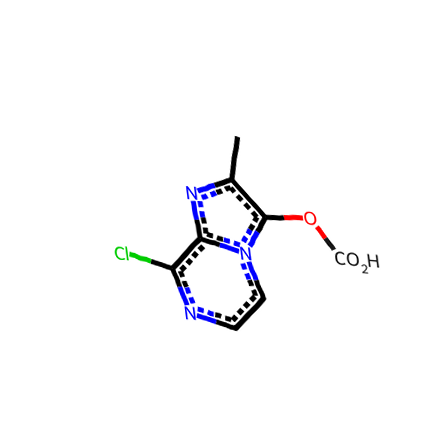 Cc1nc2c(Cl)nccn2c1OC(=O)O